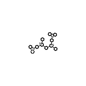 C1=CC2c3ccccc3N(c3ccc(-c4cc(-c5cccc(-c6cc(-c7ccccc7)nc(-c7ccc(-n8c9ccccc9c9ccccc98)cc7)c6)c5)cc(-c5ccccc5)n4)cc3)C2C=C1